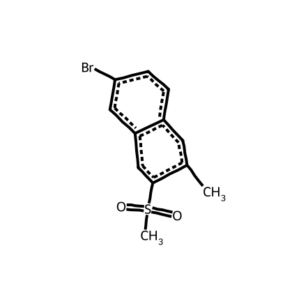 Cc1cc2ccc(Br)cc2cc1S(C)(=O)=O